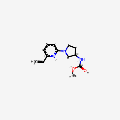 C=Cc1cccc(N2CCC(NC(=O)OC(C)(C)C)C2)n1